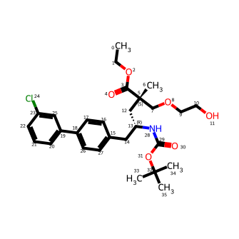 CCOC(=O)[C@](C)(COCCO)C[C@@H](Cc1ccc(-c2cccc(Cl)c2)cc1)NC(=O)OC(C)(C)C